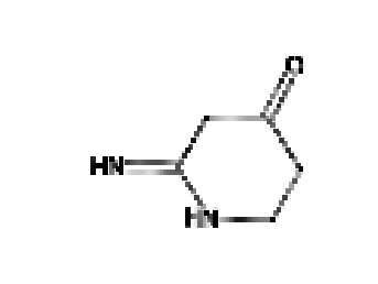 N=C1CC(=O)CCN1